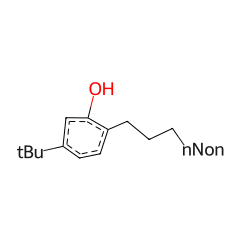 CCCCCCCCCCCCc1ccc(C(C)(C)C)cc1O